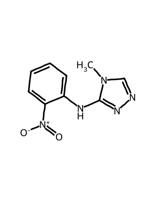 Cn1cnnc1Nc1ccccc1[N+](=O)[O-]